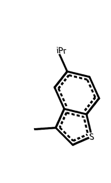 Cc1csc2ccc(C(C)C)cc12